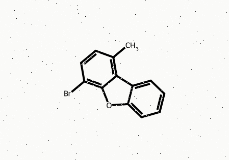 Cc1ccc(Br)c2oc3ccccc3c12